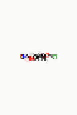 CC(C)(c1ccc(OCCCCl)cc1)c1ccc(OCC(O)CN2CCSCC2)cc1